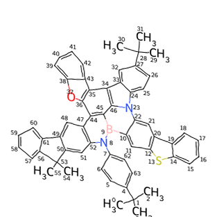 CC(C)(C)c1ccc(N2B3c4cc5sc6ccccc6c5cc4-n4c5ccc(C(C)(C)C)cc5c5c6c(oc7ccccc76)c(c3c54)-c3cc4c(cc32)C(C)(C)c2ccccc2-4)cc1